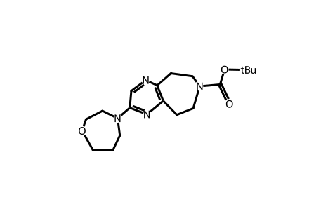 CC(C)(C)OC(=O)N1CCc2ncc(N3CCCOCC3)nc2CC1